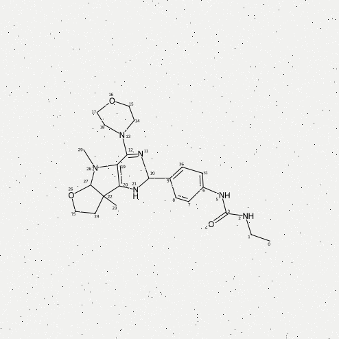 CCNC(=O)Nc1ccc(C2N=C(N3CCOCC3)C3=C(N2)C2(C)CCOC2N3C)cc1